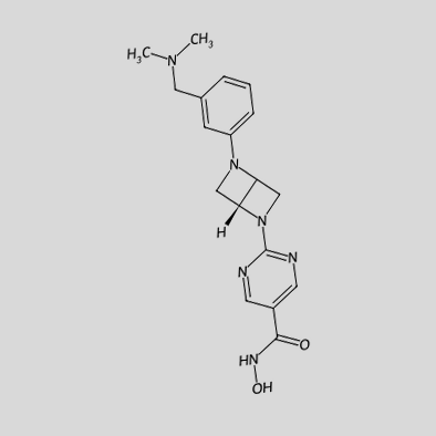 CN(C)Cc1cccc(N2C[C@@H]3C2CN3c2ncc(C(=O)NO)cn2)c1